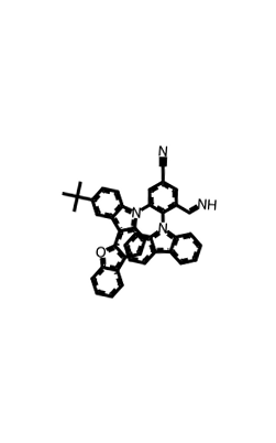 CC(C)(C)c1ccc2c(c1)c1c3oc4ccccc4c3ccc1n2-c1cc(C#N)cc(C=N)c1-n1c2ccccc2c2ccccc21